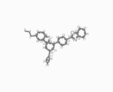 CCCc1ccc2sc3c(-c4ccc(-c5nc6ccccc6o5)cc4)cc(C4C5CC54)cc3c2c1